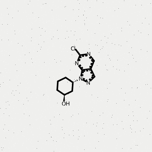 O[C@H]1CCC[C@H](n2ncc3cnc(Cl)nc32)C1